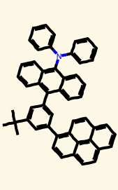 CC(C)(C)c1cc(-c2c3ccccc3c(N(c3ccccc3)c3ccccc3)c3ccccc23)cc(-c2ccc3ccc4cccc5ccc2c3c45)c1